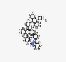 Cc1c2ccccc2c(-c2cccc(-c3c4ccccc4c(-c4cccc(-c5nc6ccccc6n5-c5ccccc5)c4)c4ccccc34)c2)c2ccccc12